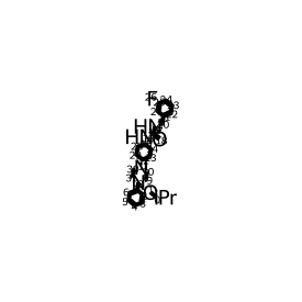 CC(C)Oc1ccccc1N1CCN([C@H]2CC[C@@H](NC(=O)NCc3cccc(F)c3)CC2)CC1